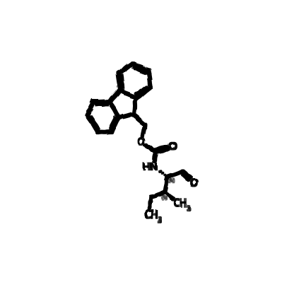 CC[C@H](C)[C@@H](C=O)NC(=O)OCC1c2ccccc2-c2ccccc21